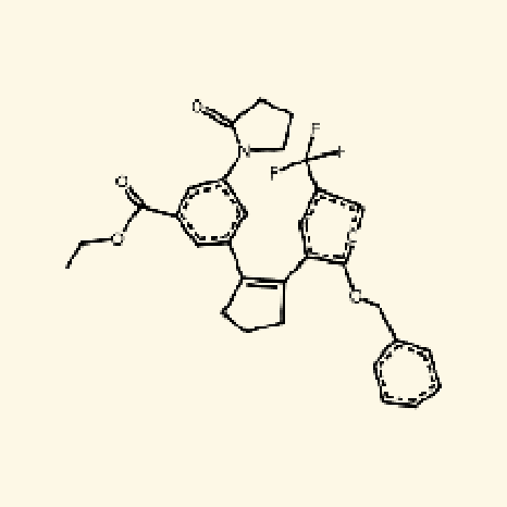 CCOC(=O)c1cc(C2=C(c3cc(C(F)(F)F)ccc3OCc3ccccc3)CCC2)cc(N2CCCC2=O)c1